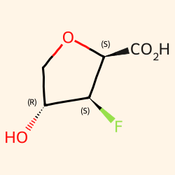 O=C(O)[C@@H]1OC[C@@H](O)[C@@H]1F